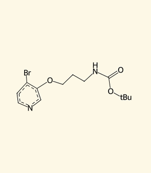 CC(C)(C)OC(=O)NCCCOc1cnccc1Br